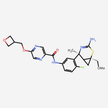 COC[C@]12CC1[C@@](C)(c1cc(NC(=O)c3cnc(OCC4COC4)cn3)ccc1F)N=C(N)S2